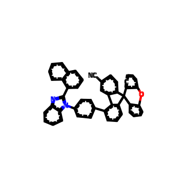 N#Cc1ccc2c(c1)-c1c(-c3ccc(-n4c(-c5cccc6ccccc56)nc5ccccc54)cc3)cccc1C21c2ccccc2Oc2ccccc21